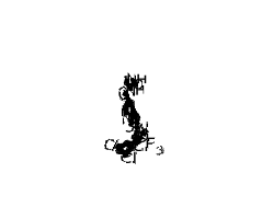 O=C(NC1CCNC1=O)c1cnc2sc(C3=NOC(c4cc(Cl)cc(Cl)c4)(C(F)(F)F)C3)cc2c1